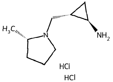 C[C@H]1CCCN1C[C@@H]1C[C@H]1N.Cl.Cl